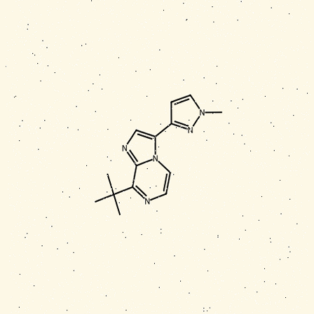 Cn1ccc(-c2cnc3c(C(C)(C)C)nccn23)n1